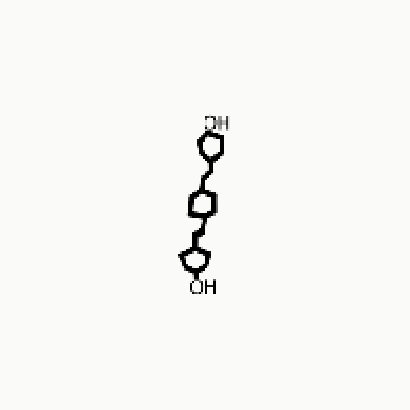 OC1CCC(/C=C/C2CCC(CCC3CCC(O)CC3)CC2)CC1